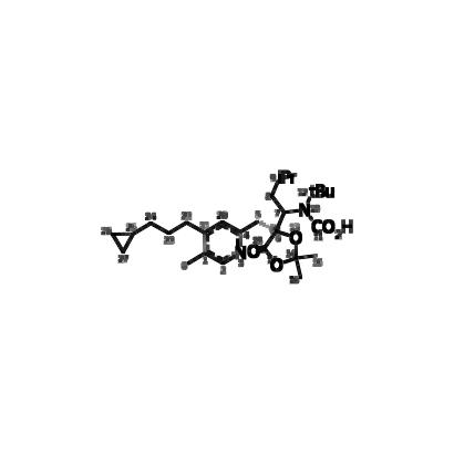 Cc1cnc(C[C@]2(C(CC(C)C)N(C(=O)O)C(C)(C)C)OC(C)(C)OC2=O)cc1CCCC1CC1